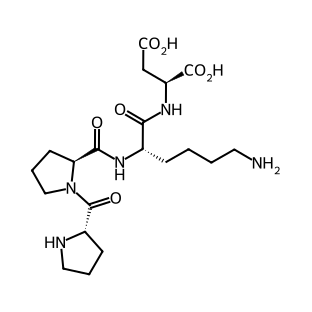 NCCCC[C@H](NC(=O)[C@@H]1CCCN1C(=O)[C@@H]1CCCN1)C(=O)N[C@@H](CC(=O)O)C(=O)O